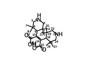 CC1(C)CNCC(C)(C)C1/C(C(=O)O)=C(/C(=O)O)C1C(C)(C)CNCC1(C)C